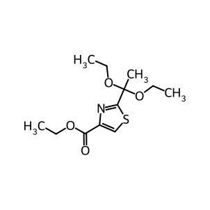 CCOC(=O)c1csc(C(C)(OCC)OCC)n1